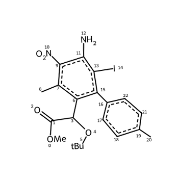 COC(=O)C(OC(C)(C)C)c1c(C)c([N+](=O)[O-])c(N)c(I)c1-c1ccc(C)cc1